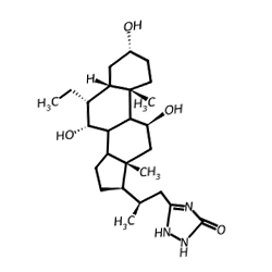 CC[C@H]1[C@@H](O)C2C3CC[C@H]([C@H](C)Cc4nc(=O)[nH][nH]4)[C@@]3(C)C[C@H](O)C2[C@@]2(C)CC[C@@H](O)C[C@@H]12